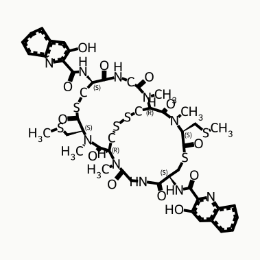 CSC[C@H]1C(=O)SC[C@@H](NC(=O)c2nc3ccccc3cc2O)C(=O)NCC(=O)N(C)[C@H]2CSSC[C@@H](C(=O)N1C)N(C)C(=O)CNC(=O)[C@H](NC(=O)c1nc3ccccc3cc1O)CSC(=O)[C@H](CSC)N(C)C2=O